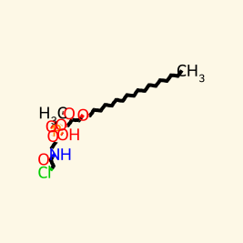 CCCCCCCCCCCCCCCCCCOCC(COP(=O)(O)OCCNC(=O)CCl)OC